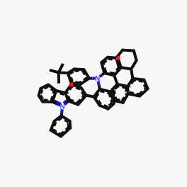 CC(C)(C)c1ccc(N(c2ccccc2-c2ccc3c4ccccc4n(-c4ccccc4)c3c2)c2ccccc2-c2cccc3cccc(C4CCCCC4)c23)cc1